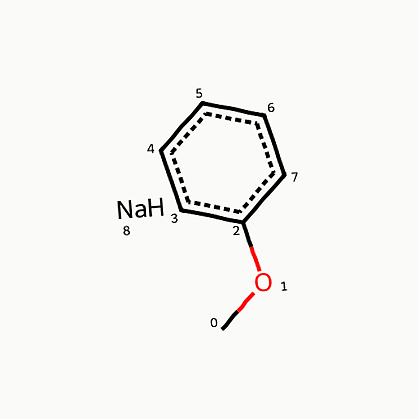 COc1ccccc1.[NaH]